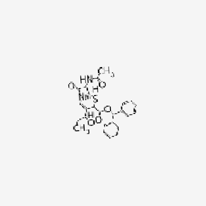 CCC(O)C1=CN2C(=O)C(NC(C)=O)[C@H]2SC1C(=O)OC(c1ccccc1)c1ccccc1